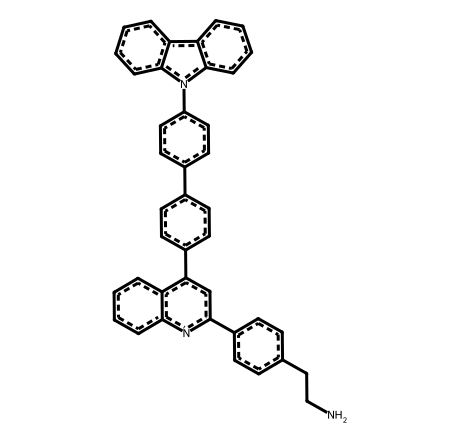 NCCc1ccc(-c2cc(-c3ccc(-c4ccc(-n5c6ccccc6c6ccccc65)cc4)cc3)c3ccccc3n2)cc1